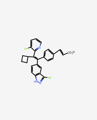 O=C(O)C=Cc1ccc(C(=C(c2ncccc2F)C2CCC2)c2ccc3[nH]nc(F)c3c2)cc1